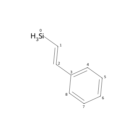 [SiH3]/C=C/c1ccccc1